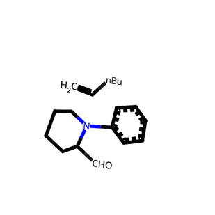 C=CCCCC.O=CC1CCCCN1c1ccccc1